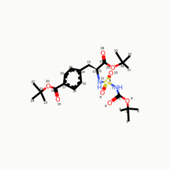 CC(C)(C)OC(=O)NS(=O)(=O)N[C@@H](Cc1ccc(C(=O)OC(C)(C)C)cc1)C(=O)OC(C)(C)C